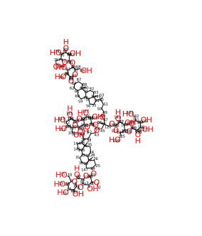 CO[C@H]1C(O)[C@H](O[C@H]2OC(CO)[C@@H](O)C(O)[C@@H]2O)C(CO)O[C@H]1OC1CCC2(C)C(CCC3C2CCC2(C)C(C(C)CCCOCC(COCCCC(C)C4CCC5C6CCC7CC(O[C@H]8OC(CO)[C@H](O[C@@H]9OC(CO)[C@H](O)C(O)[C@H]9O)C(O)[C@H]8O)CCC7(C)C6CCC45C)(CO[C@H]4OC(CO)[C@H](O[C@@H]5OC(CO)[C@H](O)C(O)[C@H]5O)C(O)[C@H]4O)CO[C@@H]4OC(CO)[C@@H](O[C@H]5OC(CO)[C@@H](O)C(O)[C@@H]5O)C(O)[C@@H]4O)CCC32)C1